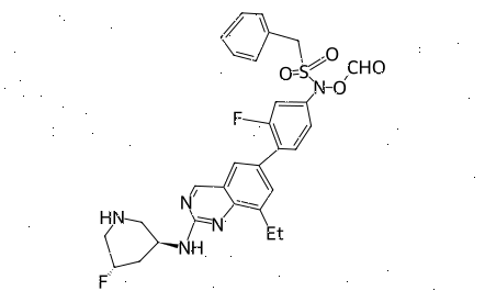 CCc1cc(-c2ccc(N(OC=O)S(=O)(=O)Cc3ccccc3)cc2F)cc2cnc(N[C@@H]3CNC[C@@H](F)C3)nc12